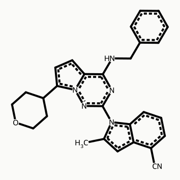 Cc1cc2c(C#N)cccc2n1-c1nc(NCc2ccccc2)c2ccc(C3CCOCC3)n2n1